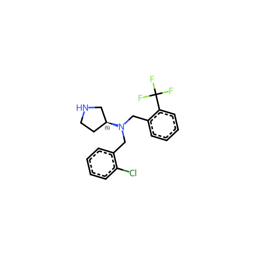 FC(F)(F)c1ccccc1CN(Cc1ccccc1Cl)[C@H]1CCNC1